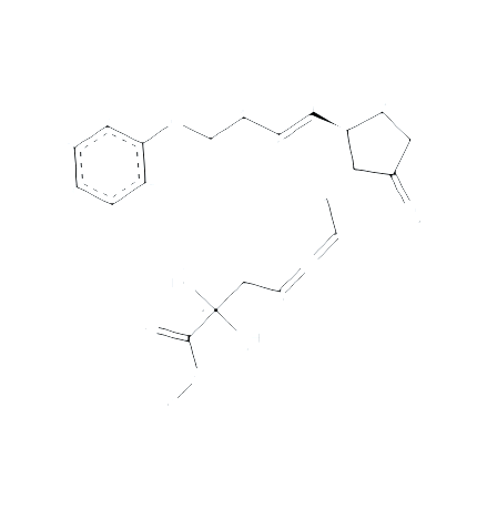 COC(=O)C(O)(O)CC=C=CC[C@H]1C(=O)CC[C@@H]1/C=C/CCOc1ccccc1